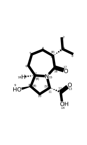 CC(C)[C@H]1CCC[C@@H]2[C@H](O)C[C@@H](C(=O)O)N2C1=O